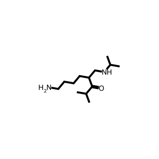 CC(C)NCC(CCCCN)C(=O)C(C)C